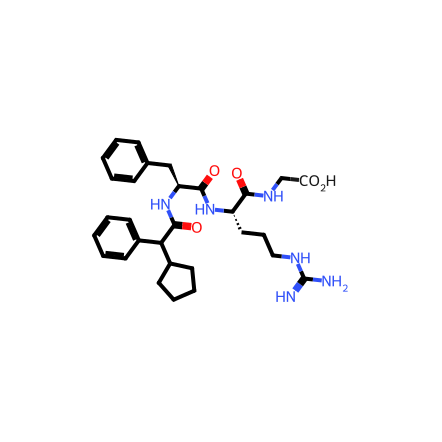 N=C(N)NCCC[C@H](NC(=O)[C@H](Cc1ccccc1)NC(=O)C(c1ccccc1)C1CCCC1)C(=O)NCC(=O)O